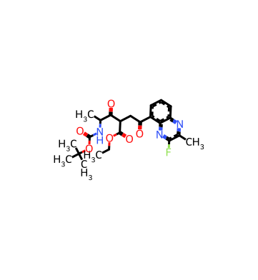 CCOC(=O)C(CC(=O)c1cccc2nc(C)c(F)nc12)C(=O)C(C)NC(=O)OC(C)(C)C